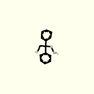 [SiH3]OC(CCl)(c1ccccc1)c1ccccc1